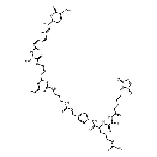 C/C=C\C[C@@H](C/C=C\NC(=O)[C@@H](NC(=O)\C=C/C=C\C(C)=C\[C@H](C)[C@@H]1CC=C(OC)C(=O)O1)C(C)(C)C)OC(=O)NCCCNC(=O)OCc1ccc(NC(=O)[C@H](CCCNC(N)=O)NC(=O)[C@@H](NC(=O)CCCCCN2C(=O)C=CC2=O)C(C)C)cc1